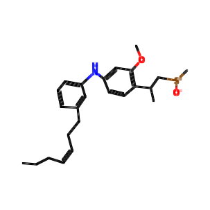 CCC/C=C\CCc1cccc(Nc2ccc(C(C)C[S+](C)[O-])c(OC)c2)c1